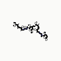 CC[C@H](OC)[C@@H](C)[C@@H]1C[C@H]1[C@H](O)[C@@H](C)/C=C/C=C(\C)[C@@H]1O[C@@H](OC)CC(CC[C@H](OC)[C@@H](C)[C@@H]2C[C@H]2[C@H](O)[C@@H](C)/C=C/C=C(\C)[C@@H]2O[C@@H](OC)CC[C@H]2OC)[C@@H]1OC